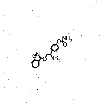 NC(=O)Oc1ccc(C(N)COc2noc3ccccc23)cc1